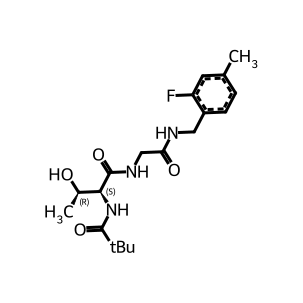 Cc1ccc(CNC(=O)CNC(=O)[C@@H](NC(=O)C(C)(C)C)[C@@H](C)O)c(F)c1